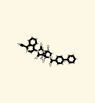 N#Cc1ncc(N2C(=O)[C@@H]3[C@@H]4C[C@@H](CN4C(=O)c4ccc(-c5ccccc5)cc4)N3C2=O)c2ccccc12